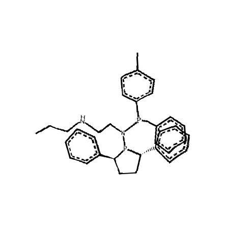 CCCNCCN(P(c1ccccc1)c1ccc(C)cc1)P1[C@H](c2ccccc2)CC[C@H]1c1ccccc1